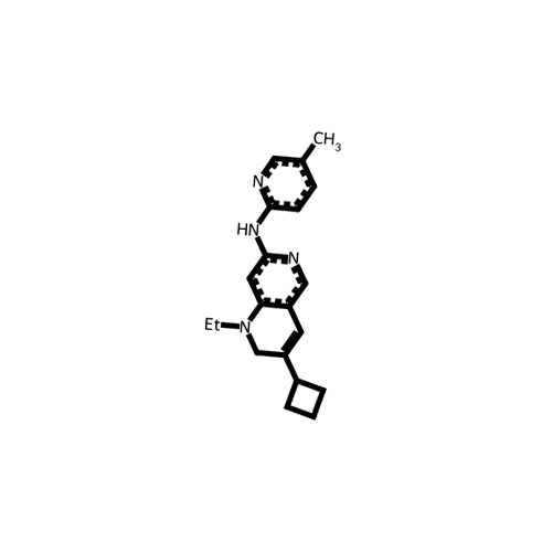 CCN1CC(C2CCC2)=Cc2cnc(Nc3ccc(C)cn3)cc21